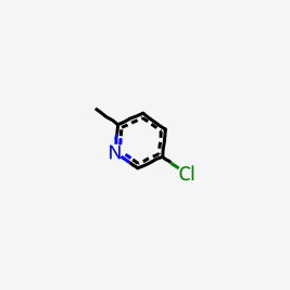 Cc1ccc(Cl)cn1